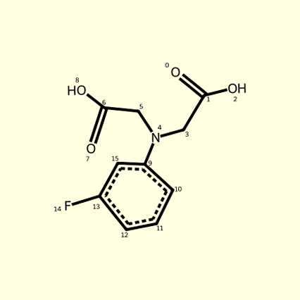 O=C(O)CN(CC(=O)O)c1cccc(F)c1